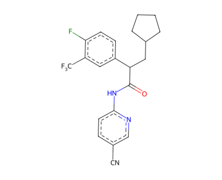 N#Cc1ccc(NC(=O)C(CC2CCCC2)c2ccc(F)c(C(F)(F)F)c2)nc1